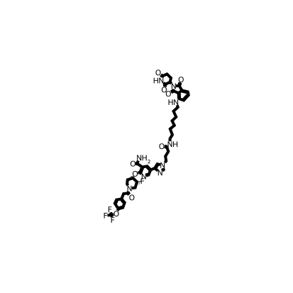 NC(=O)c1cc(-c2cn(CCCC(=O)NCCCCCCCCNc3cccc4c3C(=O)N(C3CCC(=O)NC3=O)C4=O)cn2)cnc1O[C@@H]1CCN(C(=O)Cc2ccc(OC(F)(F)F)cc2)C[C@H]1F